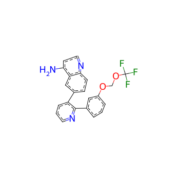 Nc1ccnc2ccc(-c3cccnc3-c3cccc(OCOC(F)(F)F)c3)cc12